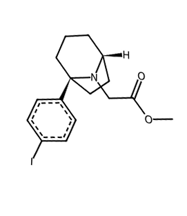 COC(=O)CN1[C@@H]2CCC[C@@]1(c1ccc(I)cc1)CC2